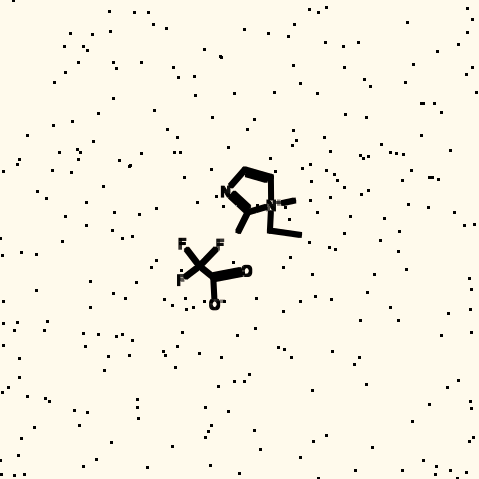 CC[N+]1(C)C=CN=C1C.O=C([O-])C(F)(F)F